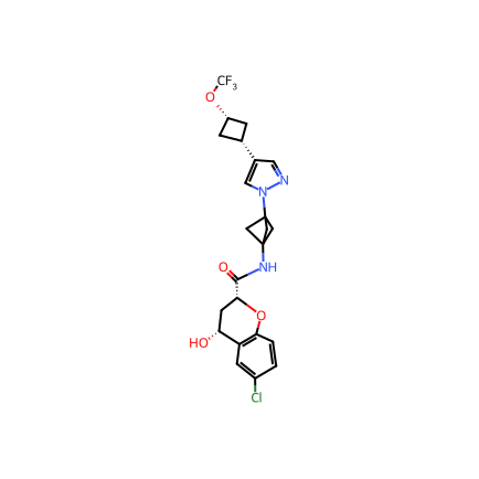 O=C(NC12CC(n3cc([C@H]4C[C@@H](OC(F)(F)F)C4)cn3)(C1)C2)[C@H]1C[C@@H](O)c2cc(Cl)ccc2O1